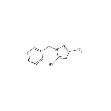 CC(C)c1cc(C(F)(F)F)nn1Cc1ccccc1